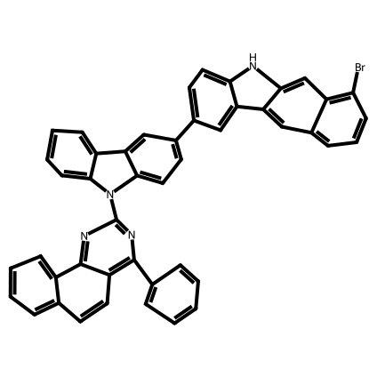 Brc1cccc2cc3c(cc12)[nH]c1ccc(-c2ccc4c(c2)c2ccccc2n4-c2nc(-c4ccccc4)c4ccc5ccccc5c4n2)cc13